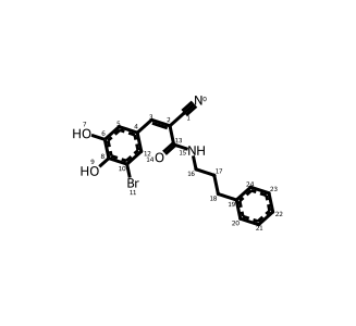 N#CC(=Cc1cc(O)c(O)c(Br)c1)C(=O)NCCCc1ccccc1